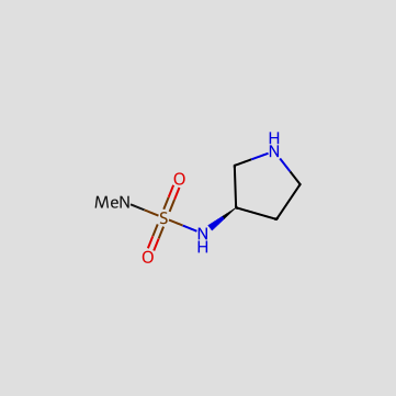 CNS(=O)(=O)N[C@@H]1CCNC1